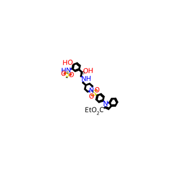 CCOC(=O)c1cc2ccccc2n1-c1ccc(S(=O)(=O)N2CCC(CNC[C@@H](O)c3ccc(O)c(NS(C)(=O)=O)c3)CC2)cc1